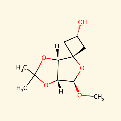 CO[C@@H]1O[C@]2(C[C@@H](O)C2)[C@H]2OC(C)(C)O[C@@H]12